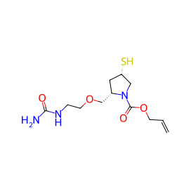 C=CCOC(=O)N1C[C@@H](S)C[C@H]1COCCNC(N)=O